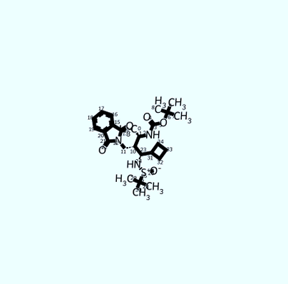 C[C@@H](NC(=O)OC(C)(C)C)[C@@H](CN1C(=O)c2ccccc2C1=O)[C@@H](N[S+]([O-])C(C)(C)C)C1CCC1